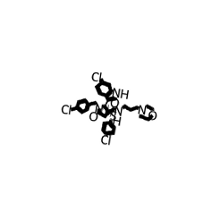 O=C1C[C@@](Sc2ccc(Cl)cc2)(C(=O)NCCCN2CCOCC2)[C@H](c2c[nH]c3cc(Cl)ccc23)N1Cc1ccc(Cl)cc1